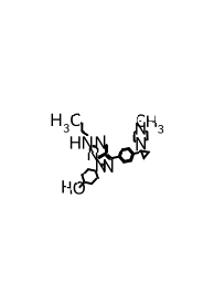 CCCCNc1ncc2c(-c3ccc(C4(N5CCN(C)CC5)CC4)cc3)nn(C3CCC(O)CC3)c2n1